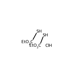 CCOC(=O)S.CCOC(=O)S.Cl